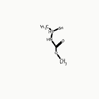 COC(=O)N[SH](C)S